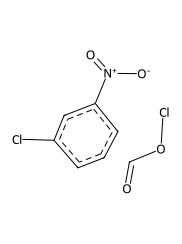 O=COCl.O=[N+]([O-])c1cccc(Cl)c1